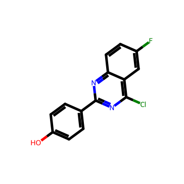 Oc1ccc(-c2nc(Cl)c3cc(F)ccc3n2)cc1